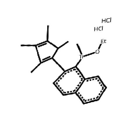 CC[O][Ti]([CH3])[c]1c(C2=C(C)C(C)=C(C)C2C)ccc2ccccc12.Cl.Cl